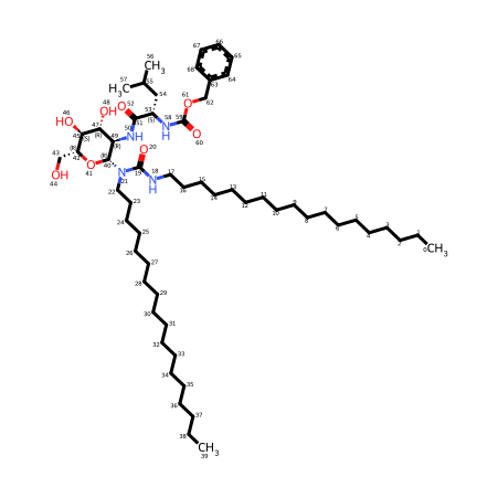 CCCCCCCCCCCCCCCCCCNC(=O)N(CCCCCCCCCCCCCCCCCC)[C@@H]1O[C@H](CO)[C@@H](O)[C@H](O)[C@H]1NC(=O)[C@H](CC(C)C)NC(=O)OCc1ccccc1